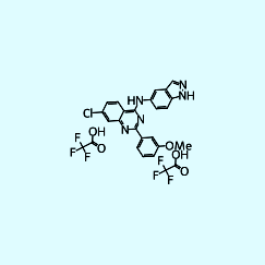 COc1cccc(-c2nc(Nc3ccc4[nH]ncc4c3)c3ccc(Cl)cc3n2)c1.O=C(O)C(F)(F)F.O=C(O)C(F)(F)F